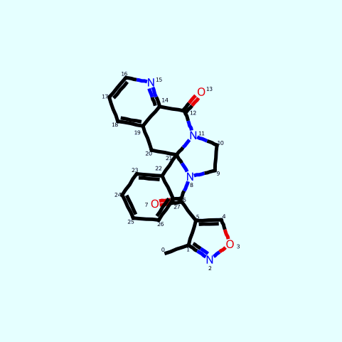 Cc1nocc1C(=O)N1CCN2C(=O)c3ncccc3CC12c1ccccc1